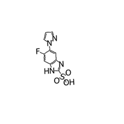 O=S(=O)(O)c1nc2cc(-n3cccn3)c(F)cc2[nH]1